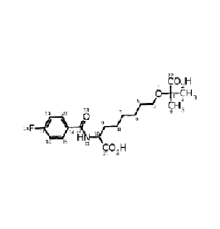 CC(C)(OCCCCCCC(NC(=O)c1ccc(F)cc1)C(=O)O)C(=O)O